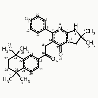 CC1(C)Cn2c(nc(-c3ccncc3)c(CC(=O)c3ccc4c(c3)C(C)(C)CCC4(C)C)c2=O)N1